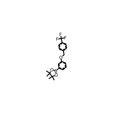 CC1(C)OB(c2cccc(OCc3ccc(C(F)(F)F)cc3)c2)OC1(C)C